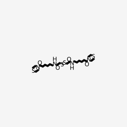 O=C(CSSCC(=O)NCCCCCC(=O)N1CCSCC1)NCCCCCC(=O)N1CCSCC1